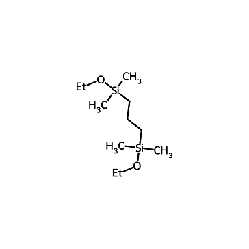 CCO[Si](C)(C)CCC[Si](C)(C)OCC